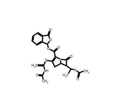 C=C(NC(C)=O)SC1=C(C(=O)OC2OC(=O)c3ccccc32)N2C(=O)C(C(C)OC(C)=O)C2C1